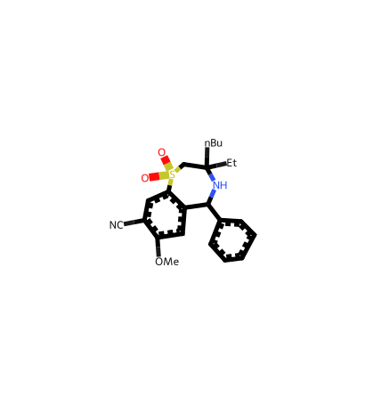 CCCCC1(CC)CS(=O)(=O)c2cc(C#N)c(OC)cc2C(c2ccccc2)N1